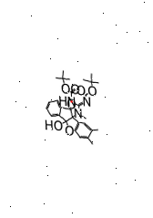 Cc1cc2c(cc1C)C1(N(C)/C(=N/C(=O)OC(C)(C)C)NC(=O)OC(C)(C)C)C(=O)c3ccccc3C1(O)O2